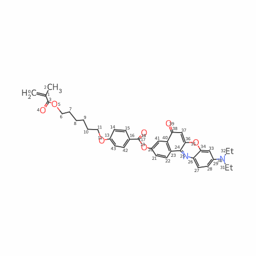 C=C(C)C(=O)OCCCCCCOc1ccc(C(=O)Oc2ccc3c4nc5ccc(N(CC)CC)cc5oc-4cc(=O)c3c2)cc1